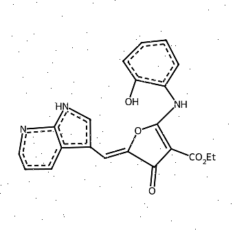 CCOC(=O)C1=C(Nc2ccccc2O)O/C(=C\c2c[nH]c3ncccc23)C1=O